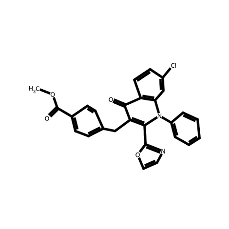 COC(=O)c1ccc(Cc2c(-c3ncco3)n(-c3ccccc3)c3cc(Cl)ccc3c2=O)cc1